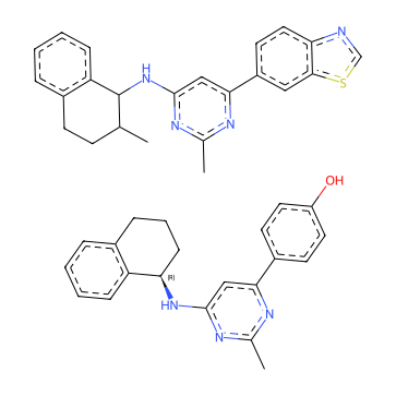 Cc1nc(NC2c3ccccc3CCC2C)cc(-c2ccc3ncsc3c2)n1.Cc1nc(N[C@@H]2CCCc3ccccc32)cc(-c2ccc(O)cc2)n1